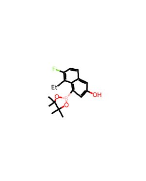 CCc1c(F)ccc2cc(O)cc(B3OC(C)(C)C(C)(C)O3)c12